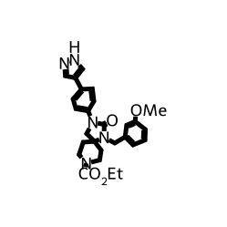 CCOC(=O)N1CCC2(CC1)CN(c1ccc(-c3cn[nH]c3)cc1)C(=O)N2Cc1cccc(OC)c1